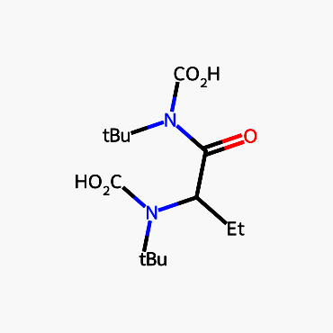 CCC(C(=O)N(C(=O)O)C(C)(C)C)N(C(=O)O)C(C)(C)C